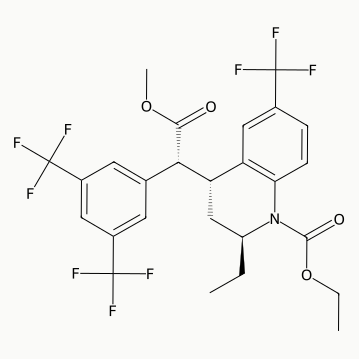 CCOC(=O)N1c2ccc(C(F)(F)F)cc2[C@@H]([C@@H](C(=O)OC)c2cc(C(F)(F)F)cc(C(F)(F)F)c2)C[C@@H]1CC